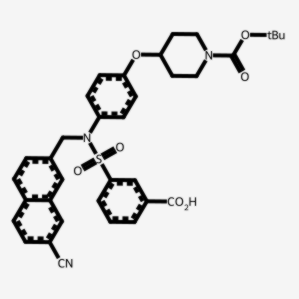 CC(C)(C)OC(=O)N1CCC(Oc2ccc(N(Cc3ccc4ccc(C#N)cc4c3)S(=O)(=O)c3cccc(C(=O)O)c3)cc2)CC1